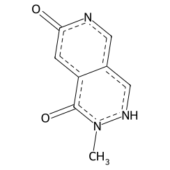 Cn1[nH]cc2cnc(=O)cc-2c1=O